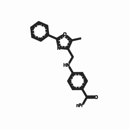 CCCC(=O)c1ccc(NCc2nc(-c3ccccc3)oc2C)cc1